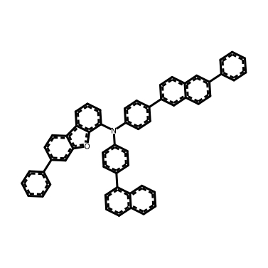 c1ccc(-c2ccc3cc(-c4ccc(N(c5ccc(-c6cccc7ccccc67)cc5)c5cccc6c5oc5cc(-c7ccccc7)ccc56)cc4)ccc3c2)cc1